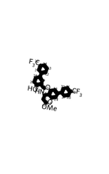 COC(=O)CC(NC(=O)c1cc(-c2cccc(C(F)(F)F)c2)ccc1O)c1ccc(-c2ccc(C(F)(F)F)cc2)cc1